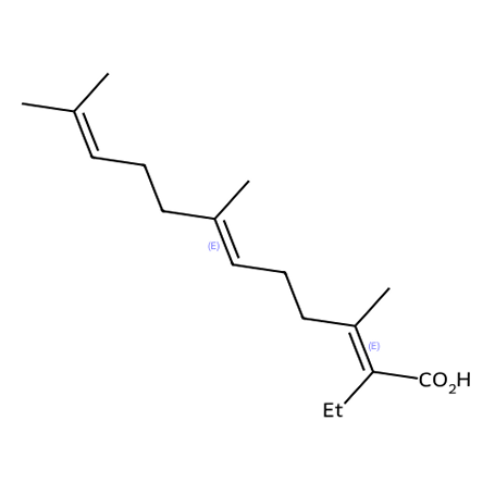 CC/C(C(=O)O)=C(/C)CC/C=C(\C)CCC=C(C)C